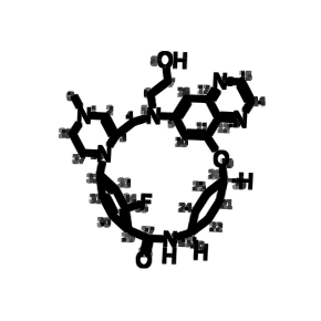 CN1C=C2CN(CCO)c3cc(c4nccnc4c3)O[C@H]3CC[C@H](CC3)NC(=O)c3ccc(cc3F)N2CC1